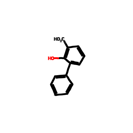 O=C(O)c1cccc(-c2cc[c]cc2)c1O